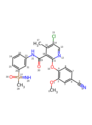 COc1cc(C#N)ccc1Oc1ncc(Cl)c(C)c1C(=O)Nc1cccc(S(C)(=N)=O)c1